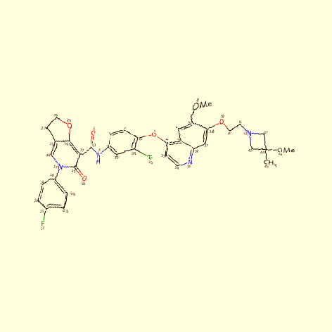 COc1cc2c(Oc3ccc(NC(=O)c4c5c(cn(-c6ccc(F)cc6)c4=O)CCO5)cc3F)ccnc2cc1OCCN1CC(C)(OC)C1